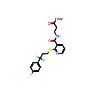 COC(=O)CCNC(=O)c1cccnc1SCCC(F)(F)c1ccc(F)cc1